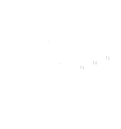 Cc1ccc(C)c(C(=O)OCN=[N+]=[N-])c1